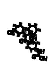 O=C(O)NC1CCN(C(=O)C(c2cccc(Cl)c2)C2(O)CCCCC2)CC1